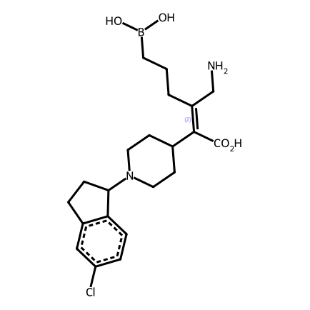 NC/C(CCCB(O)O)=C(\C(=O)O)C1CCN(C2CCc3cc(Cl)ccc32)CC1